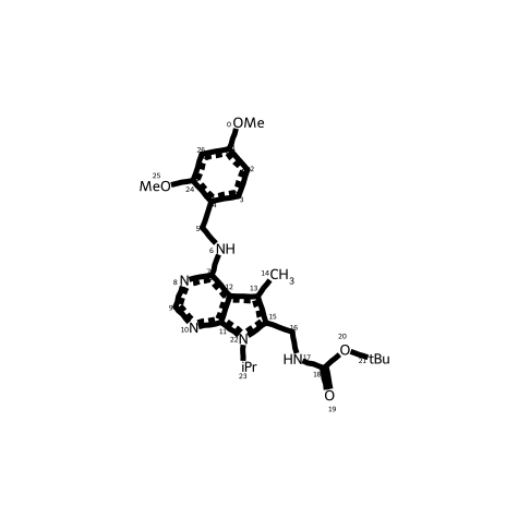 COc1ccc(CNc2ncnc3c2c(C)c(CNC(=O)OC(C)(C)C)n3C(C)C)c(OC)c1